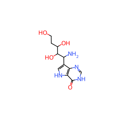 NC(c1c[nH]c2c(=O)[nH]cnc12)C(O)C(O)CCO